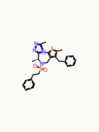 Cc1sc2c(c1Cc1ccccc1)CN(S(=O)(=O)CCc1ccccc1)[C@@H](C)c1nnc(C)n1-2